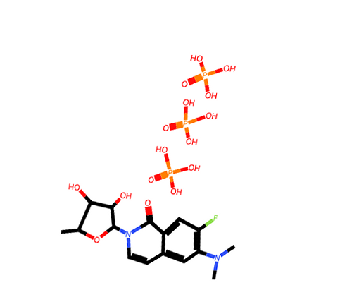 CC1OC(n2ccc3cc(N(C)C)c(F)cc3c2=O)C(O)C1O.O=P(O)(O)O.O=P(O)(O)O.O=P(O)(O)O